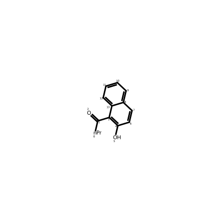 CCCC(=O)c1c(O)ccc2ccccc12